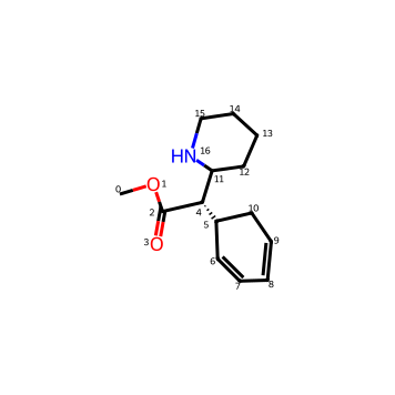 COC(=O)[C@@H](C1C=CC=CC1)C1CCCCN1